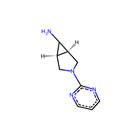 NC1[C@H]2CN(c3ncccn3)C[C@@H]12